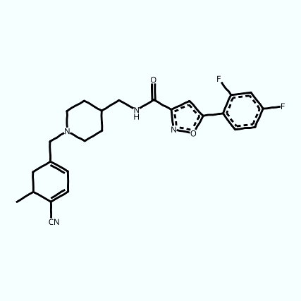 CC1CC(CN2CCC(CNC(=O)c3cc(-c4ccc(F)cc4F)on3)CC2)=CC=C1C#N